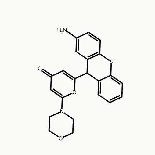 Nc1ccc2c(c1)C(c1cc(=O)cc(N3CCOCC3)o1)c1ccccc1S2